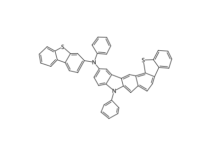 c1ccc(N(c2ccc3c(c2)sc2ccccc23)c2ccc3c(c2)c2cc4c(ccc5c6ccccc6sc45)cc2n3-c2ccccc2)cc1